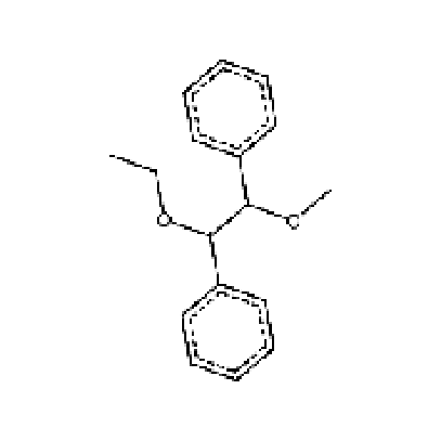 CCO[C](c1ccccc1)C(OC)c1ccccc1